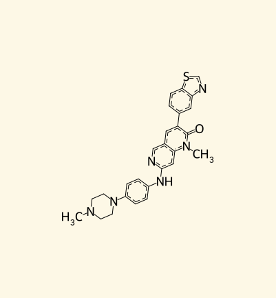 CN1CCN(c2ccc(Nc3cc4c(cn3)cc(-c3ccc5scnc5c3)c(=O)n4C)cc2)CC1